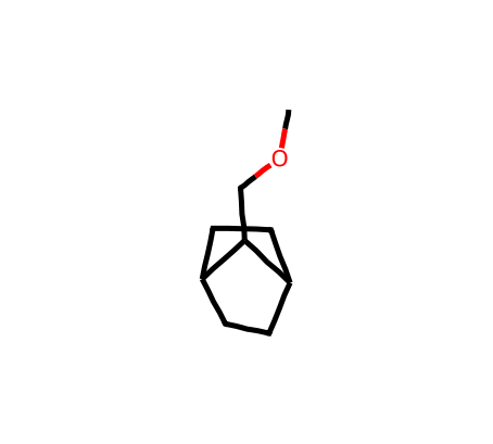 COCC1C2CCC1CC2